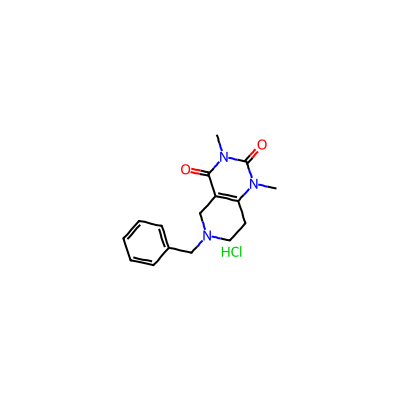 Cl.Cn1c2c(c(=O)n(C)c1=O)CN(Cc1ccccc1)CC2